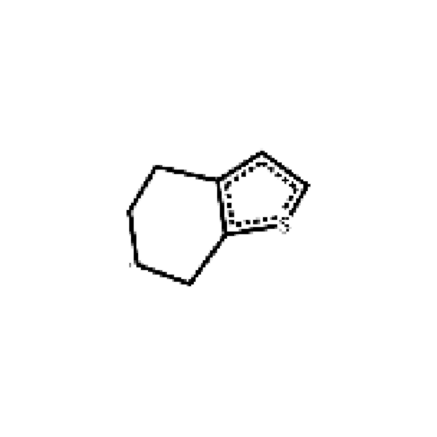 [CH]1CCc2ccsc2C1